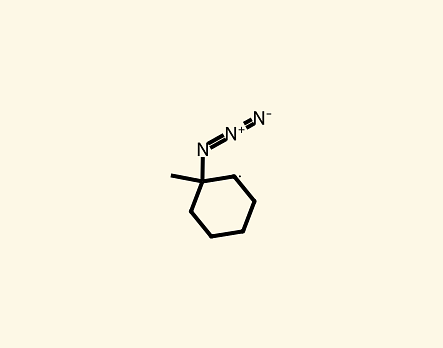 CC1(N=[N+]=[N-])[CH]CCCC1